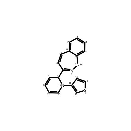 C1=CC(C2=NNc3ccccc3C=C2)N(c2ccsc2)C=C1